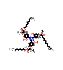 CCCCCCCCCC(=O)C(C)(C)Oc1ccc(-c2nc(-c3ccc(OC(C)(C)C(=O)OCCCCCCCC)cc3O)nc(-c3ccc(OC(C)(C)C(=O)OCCCCCCCC)cc3O)n2)c(O)c1